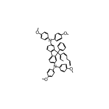 C=CC/C=C\C(=C/C)C1(c2ccccc2)c2cc(N(c3ccc(OC)cc3)c3ccc(OC)cc3)ccc2-c2ccc(N(c3ccc(OC)cc3)c3ccc(OC)cc3)cc21